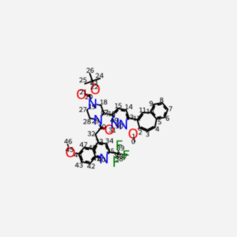 COC1=C=Cc2ccccc2C=C1c1ccc([C@@H]2CN(C(=O)OC(C)(C)C)CCN2C(=O)Cc2cc(C(F)(F)F)nc3ccc(OC)cc23)nn1